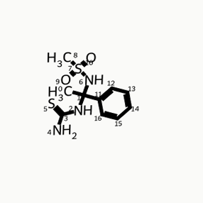 CC(NC(N)=S)(NS(C)(=O)=O)c1ccccc1